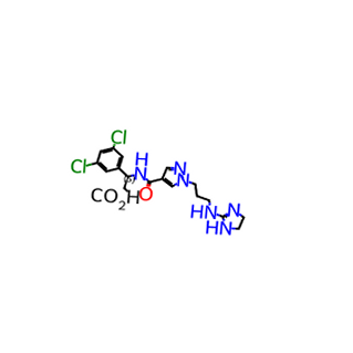 O=C(O)C[C@H](NC(=O)c1cnn(CCCNC2=NCCN2)c1)c1cc(Cl)cc(Cl)c1